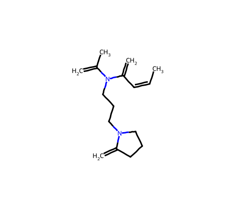 C=C1CCCN1CCCN(C(=C)C)C(=C)/C=C\C